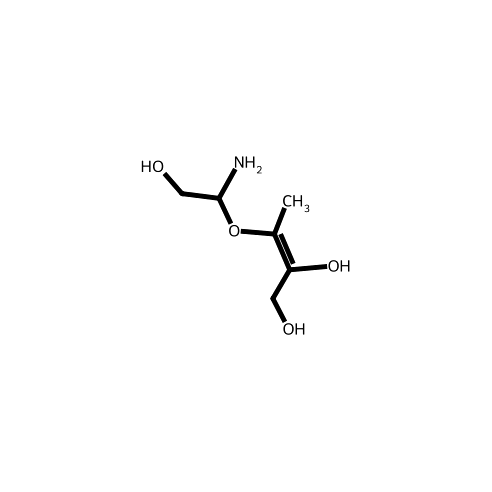 C/C(OC(N)CO)=C(\O)CO